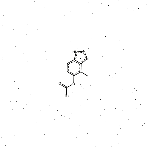 CCC(=O)Oc1ccc2[nH]nnc2c1C